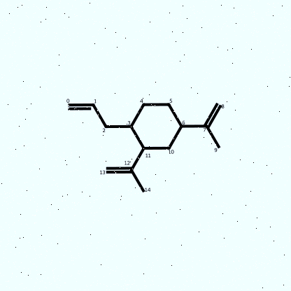 C=CCC1CCC(C(=C)C)CC1C(=C)C